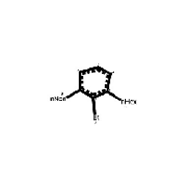 CCCCCCCCCc1cccc(CCCCCC)c1CC